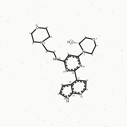 C[C@@H]1COCCN1c1cc(NCCN2CCOCC2)nc(-c2ccnc3[nH]ccc23)n1